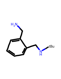 CC(C)(C)NCc1ccccc1CN